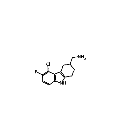 NCC1CCc2[nH]c3ccc(F)c(Cl)c3c2C1